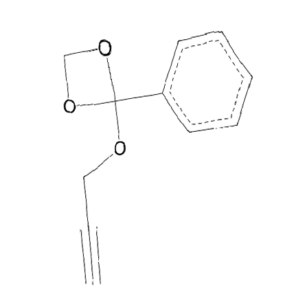 C#CCOC1(c2ccccc2)OCO1